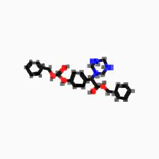 O=C(OCc1ccccc1)Oc1ccc(C(C(=O)OCc2ccccc2)N2CNCNC2)cc1